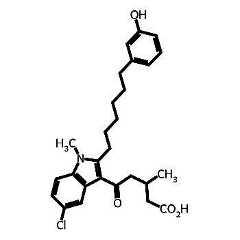 CC(CC(=O)O)CC(=O)c1c(CCCCCCc2cccc(O)c2)n(C)c2ccc(Cl)cc12